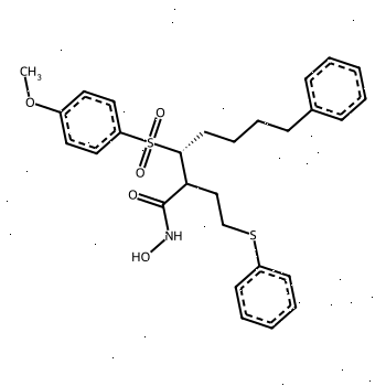 COc1ccc(S(=O)(=O)[C@H](CCCCc2ccccc2)C(CCSc2ccccc2)C(=O)NO)cc1